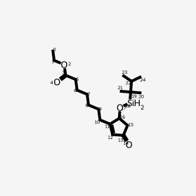 CCOC(=O)CCCCCCC1=CC(=O)CC1O[SiH2]C(C)(C)C(C)C